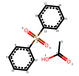 CC(=O)O.O=S(=O)(c1ccccc1)c1ccccc1